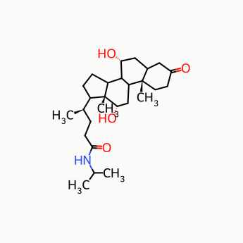 CC(C)NC(=O)CC[C@@H](C)C1CCC2C3C(C[C@H](O)[C@@]21C)[C@@]1(C)CCC(=O)CC1C[C@H]3O